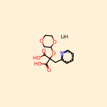 O=C(O)C(Cc1ccccn1)(OC1COCCO1)C(=O)O.[LiH]